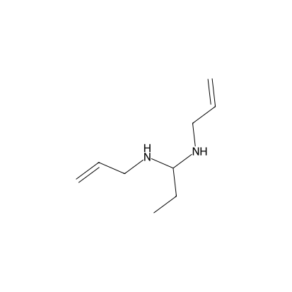 C=CCNC(CC)NCC=C